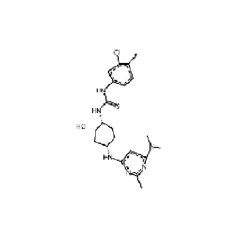 Cc1nc(N[C@H]2CC[C@@H](NC(=S)Nc3ccc(F)c(Cl)c3)CC2)cc(N(C)C)n1.Cl